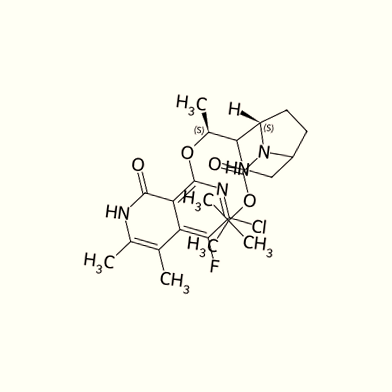 Cc1[nH]c(=O)c2c(O[C@@H](C)C3NCC4CC[C@@H]3N4C(=O)OC(C)(C)C)nc(Cl)c(F)c2c1C